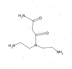 NCCN(CCN)C(=O)CC(N)=O